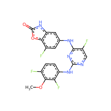 COc1c(F)ccc(Nc2ncc(F)c(Nc3cc(F)c4oc(=O)[nH]c4c3)n2)c1F